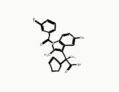 Cc1c([C@](C)(C(=O)O)C2CCCC2)c2cc(O)ccc2n1C(=O)c1cccc(F)c1